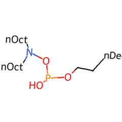 CCCCCCCCCCCCOP(O)ON(CCCCCCCC)CCCCCCCC